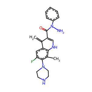 C=C1C(C(=O)N(N)c2ccccc2)=CNc2c1cc(F)c(N1CCNCC1)c2C